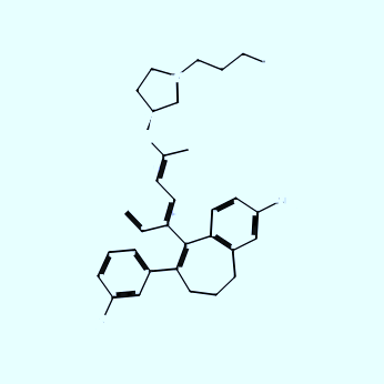 C=C/C(=C\C=C(/C)O[C@H]1CCN(CCCF)C1)C1=C(c2cccc(N)c2)CCCc2cc(N)ccc21